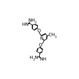 Cc1cc(COc2ccc(C(=N)N)cc2)nc(COc2ccc(C(=N)N)cc2)c1